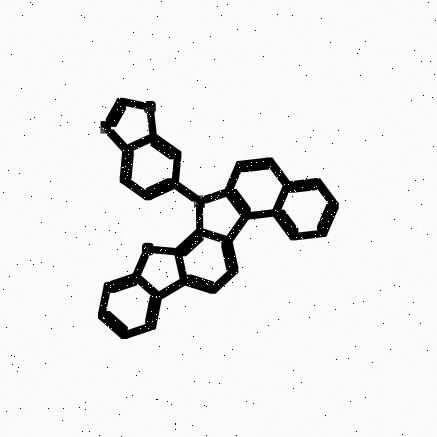 c1ccc2c(c1)ccc1c2c2ccc3c4ccccc4oc3c2n1-c1ccc2ncoc2c1